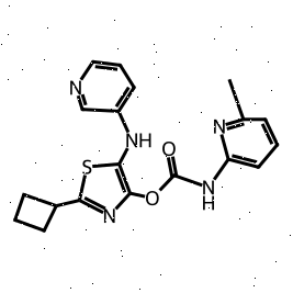 Cc1cccc(NC(=O)Oc2nc(C3CCC3)sc2Nc2cccnc2)n1